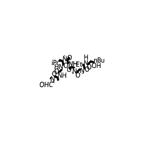 CCCCC(O)CC(=O)NC(CC)C(=O)N(C)CC(=O)N(C)CC(=O)NCC(=O)N(C)C(CC(C)C)C(=O)NCC(=O)NC(C)C(=O)N(C)CC=O